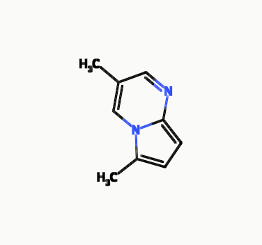 Cc1cnc2ccc(C)n2c1